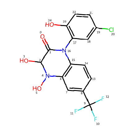 O=C1C(O)N(O)c2cc(C(F)(F)F)ccc2N1c1cc(Cl)ccc1O